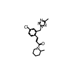 Cc1nnn(Cc2cc(Cl)ccc2/C=C/C(=O)N2CCCCC2C)n1